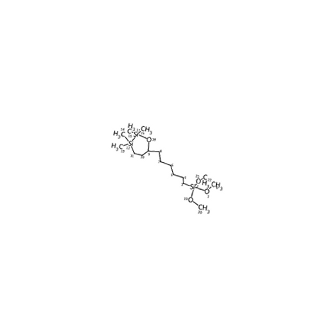 CO[Si](CCCCCCC1CC[Si](C)(C)[Si](C)(C)O1)(OC)OC